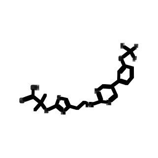 CC(C)(Sc1nc(CCNc2ncc(-c3cccc(OC(F)(F)F)c3)cn2)cs1)C(=O)O